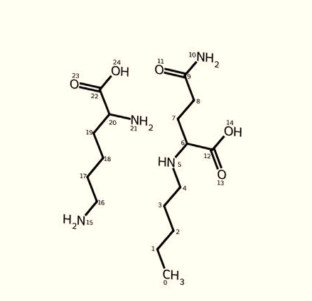 CCCCCNC(CCC(N)=O)C(=O)O.NCCCCC(N)C(=O)O